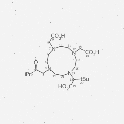 CC(C)C(=O)CN1CCN(CC(=O)O)CCN(CC(=O)O)CCN(C(C(=O)O)C(C)(C)C)CC1